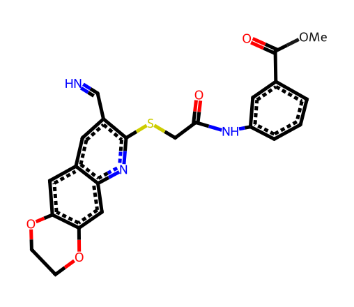 COC(=O)c1cccc(NC(=O)CSc2nc3cc4c(cc3cc2C=N)OCCO4)c1